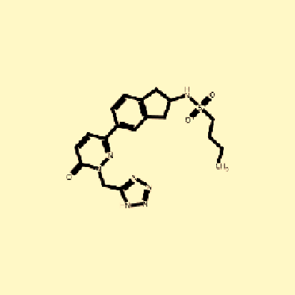 CCCCS(=O)(=O)NC1Cc2ccc(-c3ccc(=O)n(Cc4nnn[nH]4)n3)cc2C1